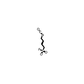 O=C=NC/C=C/CS(=O)(=O)F